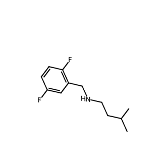 CC(C)CCNCc1cc(F)ccc1F